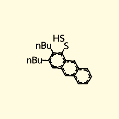 CCCCc1cc2cc3ccccc3cc2c(SS)c1CCCC